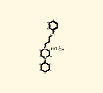 Cl.Cl.c1ccc(OCCCN2CCN(C3CCCCC3)CC2)cc1